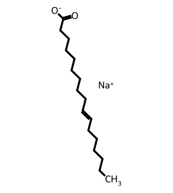 CCCCCCC=CCCCCCCCCC(=O)[O-].[Na+]